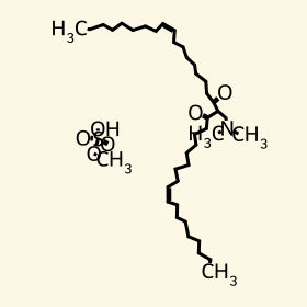 CCCCCCCC/C=C\CCCCCCCC(=O)C(CN(C)C)C(=O)CCCCCCC/C=C\CCCCCCCC.COS(=O)(=O)O